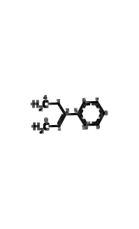 [CH2]C=C(C[CH2])c1ccccc1